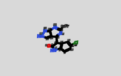 CCCc1nc(C2C(=O)Nc3ccc(Cl)cc32)c2c[nH]nc2n1